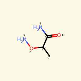 CC(ON)C(N)=O